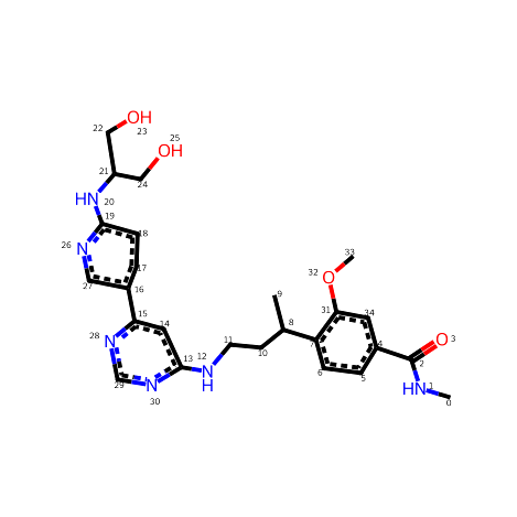 CNC(=O)c1ccc(C(C)CCNc2cc(-c3ccc(NC(CO)CO)nc3)ncn2)c(OC)c1